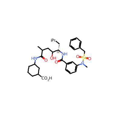 CC(C)C[C@H](NC(=O)c1cccc(N(C)S(=O)(=O)Cc2ccccc2)c1)C(O)CC(C)C(=O)NC1CCCC(C(=O)O)C1